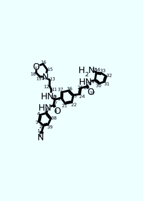 N#Cc1ccc(NC(=O)C(NCCCN2CCOCC2)c2ccc(/C=C/C(=O)Nc3ccccc3N)cc2)cc1